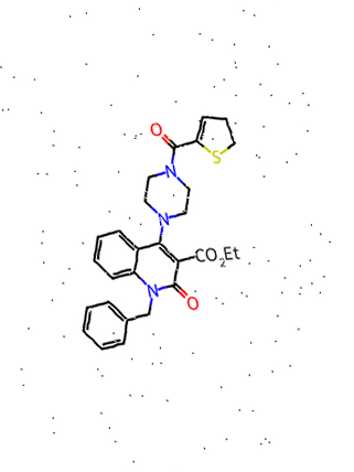 CCOC(=O)c1c(N2CCN(C(=O)C3=CCCS3)CC2)c2ccccc2n(Cc2ccccc2)c1=O